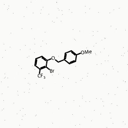 COc1ccc(COc2cccc(C(F)(F)F)c2Br)cc1